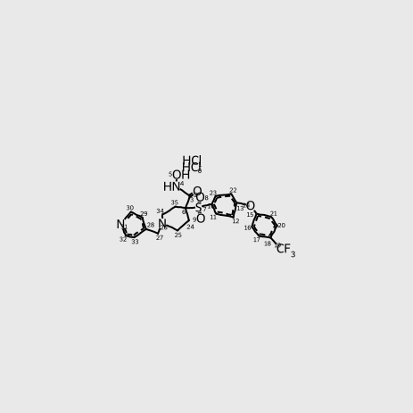 Cl.Cl.O=C(NO)C1(S(=O)(=O)c2ccc(Oc3ccc(C(F)(F)F)cc3)cc2)CCN(Cc2ccncc2)CC1